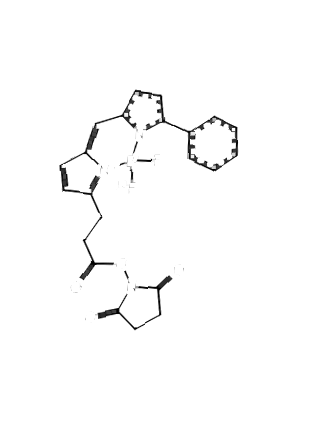 O=C(CCC1=[N+]2C(=Cc3ccc(-c4ccccc4)n3[B-]2(F)[18F])C=C1)ON1C(=O)CCC1=O